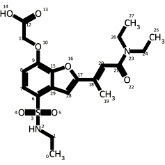 CCNS(=O)(=O)c1ccc(OCC(=O)O)c2oc(C(C)=CC(=O)N(CC)CC)cc12